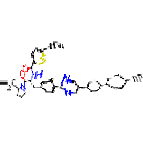 CCCCCC1CCC(C2CC=C(c3cnc(-c4ccc(C[C@H](NC(=O)c5ccc(C(C)(C)C)s5)C(=O)N5CCC[C@H]5C(=O)O)cc4)nc3)CC2)CC1